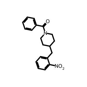 O=C(c1ccccc1)N1CCC(Cc2ccccc2[N+](=O)[O-])CC1